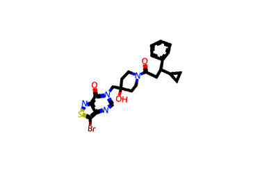 O=C(CC(c1ccccc1)C1CC1)N1CCC(O)(Cn2cnc3c(Br)snc3c2=O)CC1